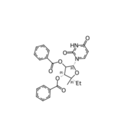 CC[C@@]1(C)O[C@@H](n2ccc(=O)[nH]c2=O)C(OC(=O)c2ccccc2)[C@H]1OC(=O)c1ccccc1